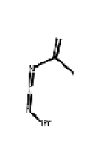 C=C(C)N=C=NC(C)C